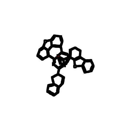 C1=CC(c2nc(C3=CCCc4c3oc3ccccc43)nc(-c3cccc4oc5cccc(-c6ccccc6)c5c34)n2)Cc2ccccc21